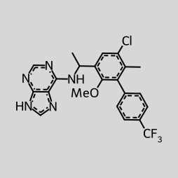 COc1c(C(C)Nc2ncnc3[nH]cnc23)cc(Cl)c(C)c1-c1ccc(C(F)(F)F)cc1